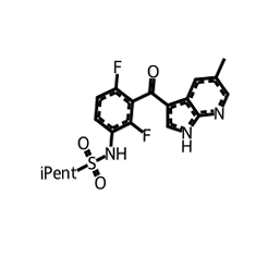 CCCC(C)S(=O)(=O)Nc1ccc(F)c(C(=O)c2c[nH]c3ncc(C)cc23)c1F